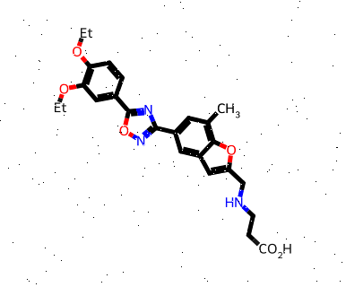 CCOc1ccc(-c2nc(-c3cc(C)c4oc(CNCCC(=O)O)cc4c3)no2)cc1OCC